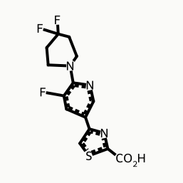 O=C(O)c1nc(-c2cnc(N3CCC(F)(F)CC3)c(F)c2)cs1